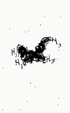 CCOSP(=O)(SOCC)C(CNc1ccc(C)nc1C)c1cc2ccc(OC)cc2s1